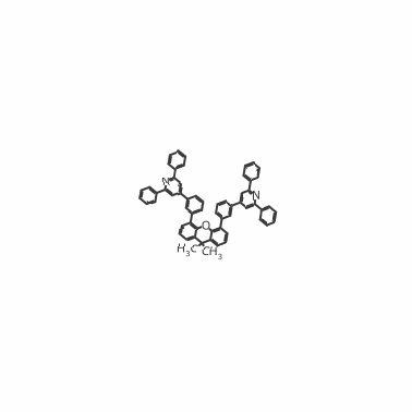 CC1(C)c2cccc(-c3cccc(-c4cc(-c5ccccc5)nc(-c5ccccc5)c4)c3)c2Oc2c(-c3cccc(-c4cc(-c5ccccc5)nc(-c5ccccc5)c4)c3)cccc21